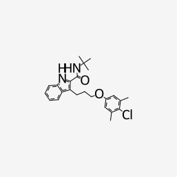 Cc1cc(OCCCc2c(C(=O)NC(C)(C)C)[nH]c3ccccc23)cc(C)c1Cl